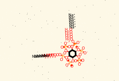 O.O.O.O.O.O.O.O.O.O.O=P([O-])([O-])O[C@H]1[C@H](OP(=O)([O-])[O-])[C@@H](OP(=O)([O-])[O-])[C@H](OP(=O)([O-])[O-])[C@@H](OP(=O)([O-])[O-])[C@H]1OP(=O)([O-])[O-].[Na+].[Na+].[Na+].[Na+].[Na+].[Na+].[Na+].[Na+].[Na+].[Na+].[Na+].[Na+]